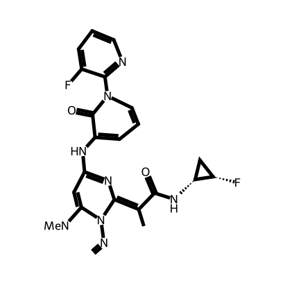 C=NN1C(NC)=CC(Nc2cccn(-c3ncccc3F)c2=O)=N/C1=C(/C)C(=O)N[C@@H]1C[C@@H]1F